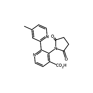 Cc1ccnc(-c2nccc(C(=O)O)c2N2C(=O)CCC2=O)c1